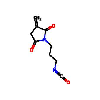 C=C1CC(=O)N(CCCN=C=O)C1=O